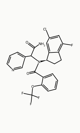 NC(=O)C(c1cccnc1)N(C(=O)c1ccccc1OC(F)(F)F)[C@@H]1CCc2c(F)cc(Cl)cc21